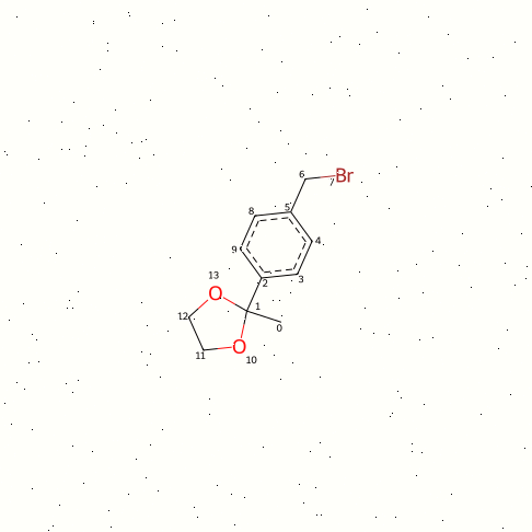 CC1(c2ccc(CBr)cc2)OCCO1